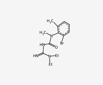 CCN(CC)C(=N)NC(=O)N(C)c1c(C)cccc1Br